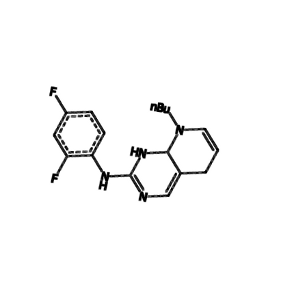 CCCCN1C=CCC2=CN=C(Nc3ccc(F)cc3F)NC21